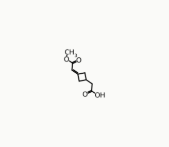 COC(=O)C=C1CC(CC(=O)O)C1